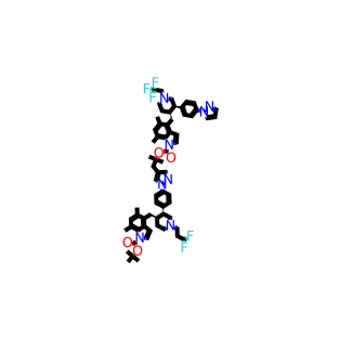 Cc1cc(C)c2c(ccn2C(=O)OC(C)(C)C)c1C[C@@H]1CCN(CCC(F)F)C[C@H]1c1ccc(-n2cc(CC(C)(C)OC(=O)n3ccc4c(C[C@@H]5CCN(CC(F)(F)F)C[C@H]5c5ccc(-n6cccn6)cc5)c(C)cc(C)c43)cn2)cc1